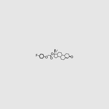 C#C[C@]1(OC(=O)COc2ccc(F)cc2)CCC2C3CCC4=CC(=O)CCC4C3CC[C@@]21CC